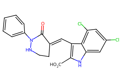 O=C(O)c1[nH]c2cc(Cl)cc(Cl)c2c1C=C1CCNN(c2ccccc2)C1=O